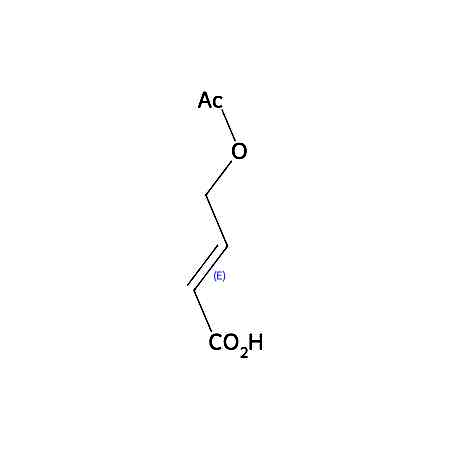 CC(=O)OC/C=C/C(=O)O